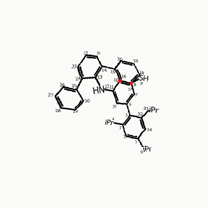 CC(C)c1cc(C(C)C)c(-c2cc(S)cc(Nc3c(-c4ccccc4)cccc3-c3ccccc3)c2)c(C(C)C)c1